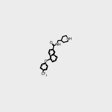 O=C(NCC1CCNCC1)c1ccc2c(Oc3ccc(C(F)(F)F)cc3)cccc2c1